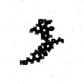 CCCOc1ccc(S(=O)(=O)N2CCC(CCO)CC2)cc1C1=Nc2c(CCC)c(CO)n(CC)c(=O)c2C1